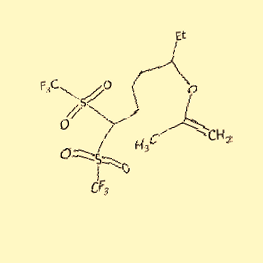 C=C(C)OC(CC)CCC(S(=O)(=O)C(F)(F)F)S(=O)(=O)C(F)(F)F